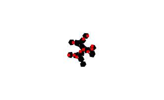 c1ccc(-c2ccc(N(c3ccc(-c4ccccc4)cc3)c3ccc(N(c4ccc(N(c5ccccc5)c5ccccc5)cc4)c4ccc(N(c5ccc(-c6ccccc6)cc5)c5ccc(-c6ccccc6)cc5)cc4)cc3)cc2)cc1